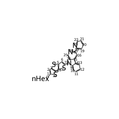 CCCCCCc1cc2sc3cc(-n4c5ccccc5c5cc(-c6ccccn6)ncc54)sc3c2s1